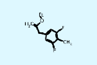 C=C(Cc1cc(F)c(C)c(F)c1)OCC